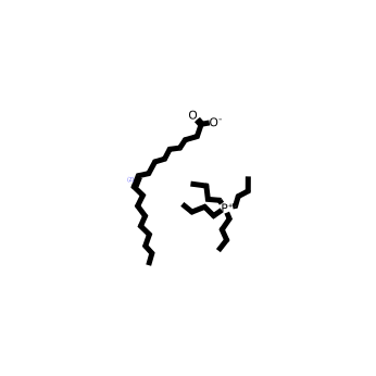 CCCCCCCC/C=C\CCCCCCCC(=O)[O-].CCCC[P+](CCCC)(CCCC)CCCC